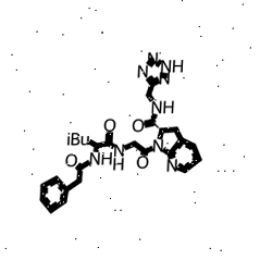 CCC(C)C(NC(=O)Cc1ccccc1)C(=O)NCC(=O)N1c2ncccc2C[C@H]1C(=O)NCc1nn[nH]n1